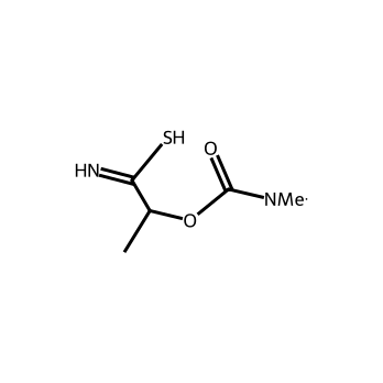 C[N]C(=O)OC(C)C(=N)S